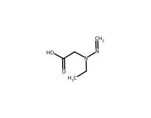 C=NN(CC)CC(=O)O